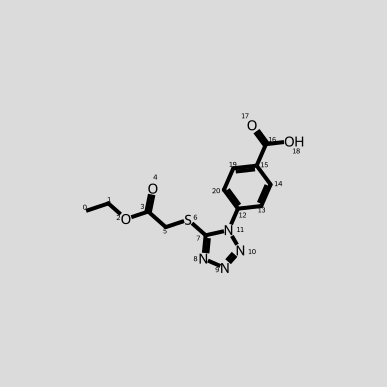 CCOC(=O)CSc1nnnn1-c1ccc(C(=O)O)cc1